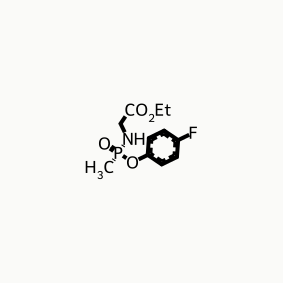 CCOC(=O)CNP(C)(=O)Oc1ccc(F)cc1